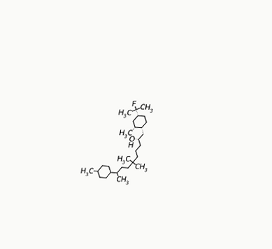 CC1CCC(C(C)CCC(C)(C)CCC[C@H](O)C[C@H]2CC[C@@H](C(C)(C)F)C[C@H]2C)CC1